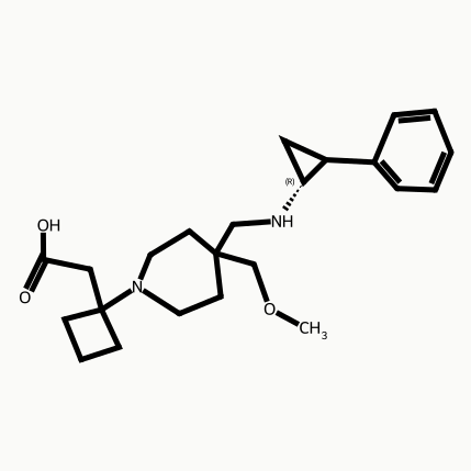 COCC1(CN[C@@H]2CC2c2ccccc2)CCN(C2(CC(=O)O)CCC2)CC1